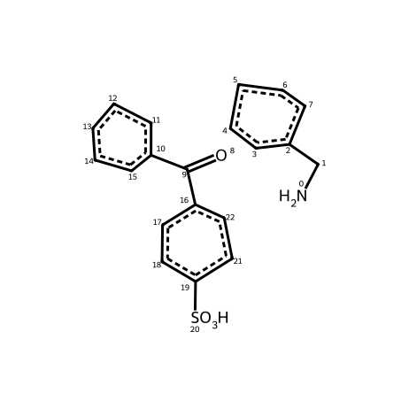 NCc1ccccc1.O=C(c1ccccc1)c1ccc(S(=O)(=O)O)cc1